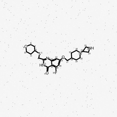 O=c1[nH]c(CSC2CCOCC2)nc2cc(OCC3CCN(C4CNC4)CC3)cc(F)c12